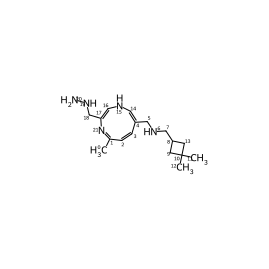 Cc1ccc(CNCC2CC(C)(C)C2)c[nH]cc(CNN)n1